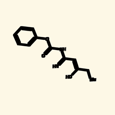 CC(C)(C)C/C(O)=C/C(=N)NC(=O)Oc1ccccc1